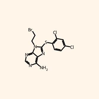 Nc1ncnc2c1nc(Sc1ccc(Cl)cc1Cl)n2CCBr